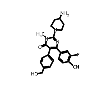 Cn1c(N2CCC(N)CC2)nc(-c2ccc(C#N)c(F)c2)c(-c2ccc(CO)cc2)c1=O